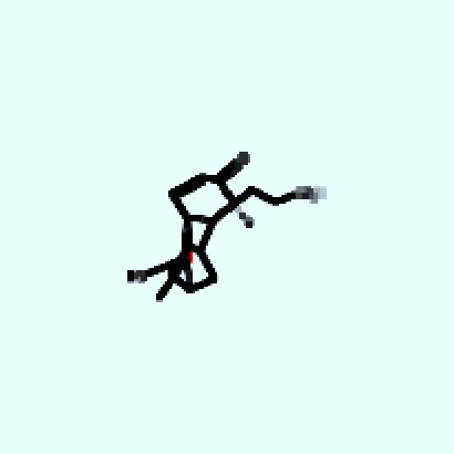 CC1(O)CC23C=CC(=O)[C@@](C)(CCC(=O)O)C2C2CC1CC23